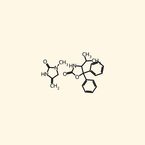 C=C1CN(C)C(=O)N1.CC(C)C1NC(=O)OC1(c1ccccc1)c1ccccc1